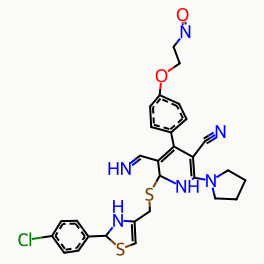 N#CC1=C(N2CCCC2)NC(SCC2=CSC(c3ccc(Cl)cc3)N2)C(C=N)=C1c1ccc(OCCN=O)cc1